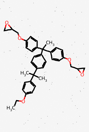 CCOc1ccc(C(C)(C)c2ccc(C(C)(c3ccc(OCC4CO4)cc3)c3ccc(OCC4CO4)cc3)cc2)cc1